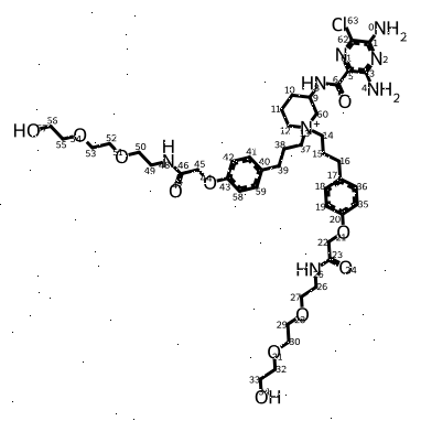 Nc1nc(N)c(C(=O)NC2CCC[N+](CCCc3ccc(OCC(=O)NCCOCCOCCO)cc3)(CCCc3ccc(OCC(=O)NCCOCCOCCO)cc3)C2)nc1Cl